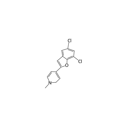 CN1C=CC(c2cc3cc(Cl)cc(Cl)c3o2)=CC1